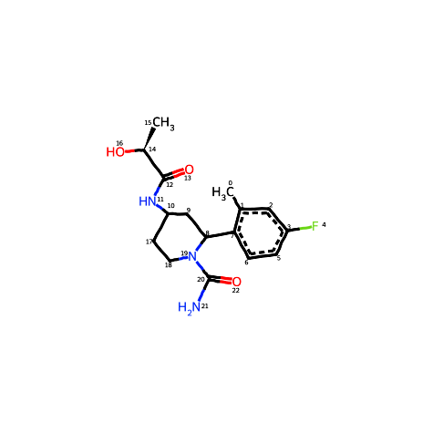 Cc1cc(F)ccc1C1CC(NC(=O)[C@H](C)O)CCN1C(N)=O